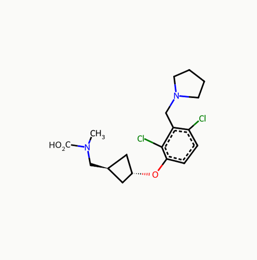 CN(C[C@H]1C[C@H](Oc2ccc(Cl)c(CN3CCCC3)c2Cl)C1)C(=O)O